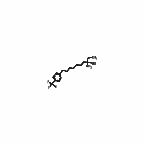 CCC(C)(O)CCCCCCCc1ccc(C(F)(F)F)cc1